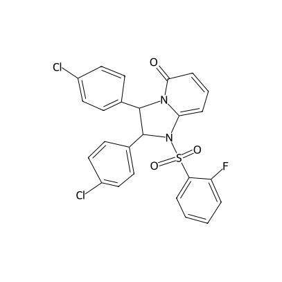 O=c1cccc2n1C(c1ccc(Cl)cc1)C(c1ccc(Cl)cc1)N2S(=O)(=O)c1ccccc1F